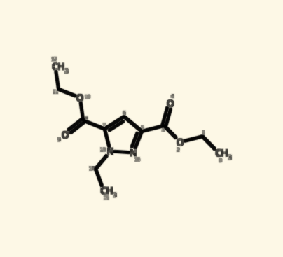 CCOC(=O)c1cc(C(=O)OCC)n(CC)n1